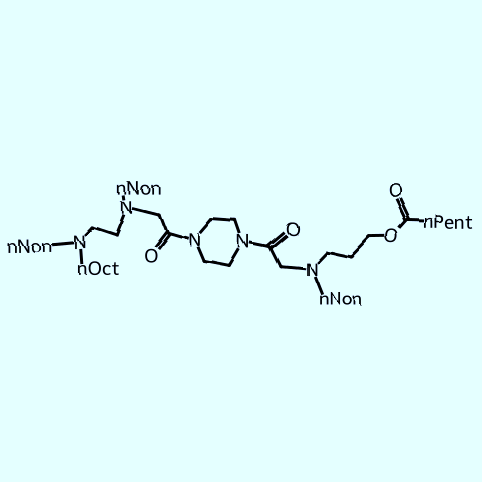 CCCCCCCCCN(CCCCCCCC)CCN(CCCCCCCCC)CC(=O)N1CCN(C(=O)CN(CCCCCCCCC)CCCOC(=O)CCCCC)CC1